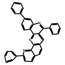 c1ccc(-c2ccc3c(c2)nc(-c2ccccc2)c2cc4ccc5ccc(-c6ccccc6)nc5c4nc23)cc1